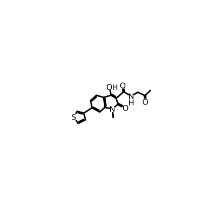 CC(=O)CNC(=O)c1c(O)c2ccc(-c3ccsc3)cc2n(C)c1=O